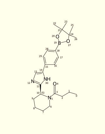 CCCC(=O)N1CCCC[C@H]1c1ncc(-c2ccc(B3OC(C)(C)C(C)(C)O3)cc2)[nH]1